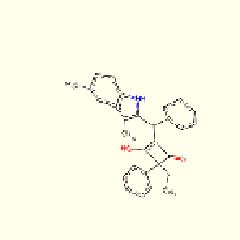 CCC1(c2ccccc2)C(=O)C(C(c2ccccc2)c2[nH]c3ccc(C)cc3c2C)=C1O